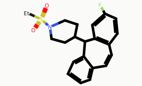 CCS(=O)(=O)N1CCC(C2c3ccccc3C=Cc3ccc(F)cc32)CC1